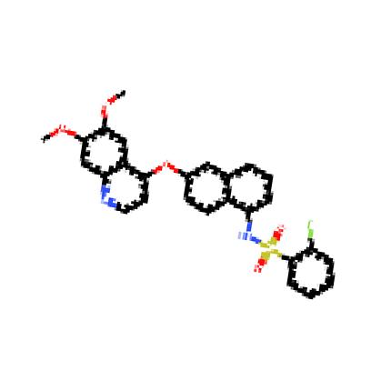 COc1cc2nccc(Oc3ccc4c(NS(=O)(=O)c5ccccc5F)cccc4c3)c2cc1OC